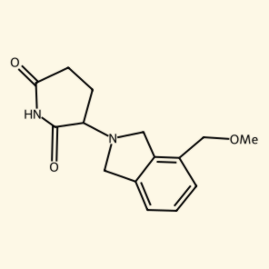 COCc1cccc2c1CN(C1CCC(=O)NC1=O)C2